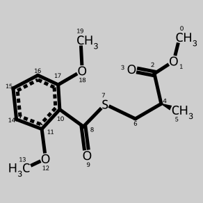 COC(=O)[C@@H](C)CSC(=O)c1c(OC)cccc1OC